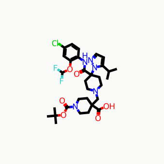 CC(C)c1ccnn1C1(C(=O)Nc2ccc(Cl)cc2OC(F)F)CCN(CC2(C(=O)O)CCN(C(=O)OC(C)(C)C)CC2)CC1